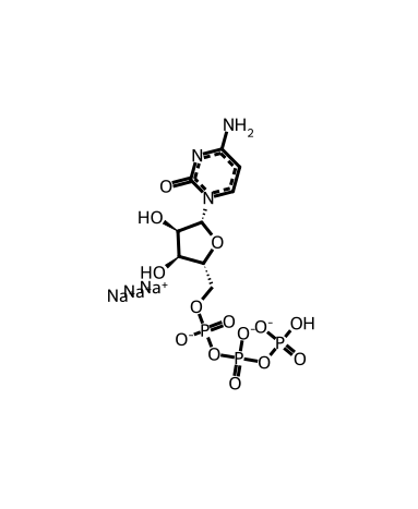 Nc1ccn([C@@H]2O[C@H](COP(=O)([O-])OP(=O)([O-])OP(=O)([O-])O)[C@@H](O)[C@H]2O)c(=O)n1.[Na+].[Na+].[Na+]